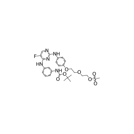 CC(C)(C)OC(=O)Nc1cccc(Nc2nc(Nc3ccc(OCCOCCOS(C)(=O)=O)cc3)ncc2F)c1